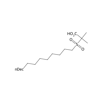 CCCCCCCCCCCCCCCCCCS(=O)(=O)C(C)(C)C(=O)O